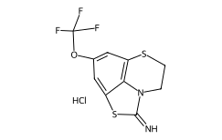 Cl.N=c1sc2cc(OC(F)(F)F)cc3c2n1CCS3